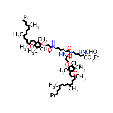 CCOC(=O)[C@H](CCCCNC(=O)[C@H](CCCCNC(=O)CCOc1c(C)c(C)c2c(c1C)CC[C@@](C)(CCC[C@H](C)CCC[C@H](C)CCCC(C)C)O2)NC(=O)CCOc1c(C)c(C)c2c(c1C)CC[C@@](C)(CCC[C@H](C)CCC[C@H](C)CCCC(C)C)O2)NC=O